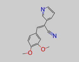 COc1ccc(C=C(C#N)c2cccnc2)cc1OC